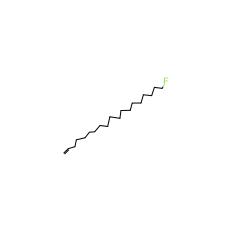 C=CCCCCCCCCCCCCCCCCCF